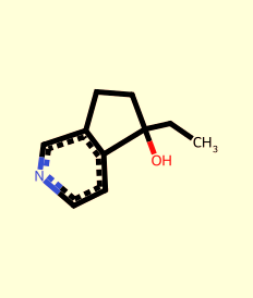 CCC1(O)CCc2cnccc21